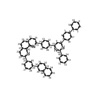 c1ccc(-c2ccc(-c3cc(-c4ccc(-c5ccc6ccc7ccc(-c8cccc(-c9ccc%10ccccc%10c9)c8)nc7c6n5)cc4)nc(-c4ccccc4)n3)cc2)cc1